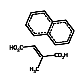 CC(=CC(=O)O)C(=O)O.c1ccc2ccccc2c1